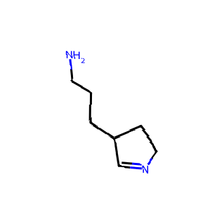 NCCCC1C=NCC1